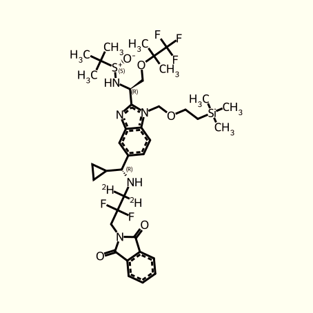 [2H]C([2H])(N[C@@H](c1ccc2c(c1)nc([C@H](COC(C)(C)C(F)(F)F)N[S@+]([O-])C(C)(C)C)n2COCC[Si](C)(C)C)C1CC1)C(F)(F)CN1C(=O)c2ccccc2C1=O